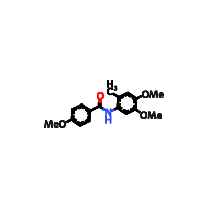 COc1ccc(C(=O)Nc2cc(OC)c(OC)cc2C)cc1